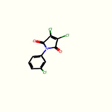 O=C1C(Cl)=C(Cl)C(=O)N1c1cccc(Cl)c1